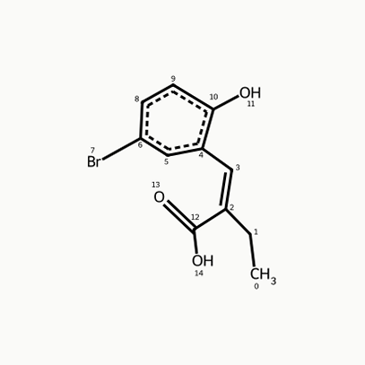 CCC(=Cc1cc(Br)ccc1O)C(=O)O